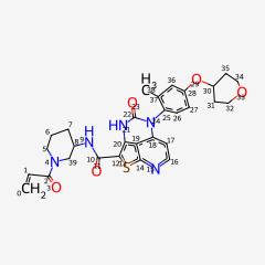 C=CC(=O)N1CCCC(NC(=O)c2sc3nccc4c3c2NC(=O)N4c2ccc(OC3CCOCC3)cc2C)C1